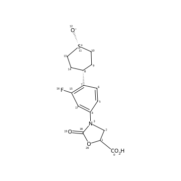 O=C(O)C1CN(c2ccc([C@H]3CC[S@@+]([O-])CC3)c(F)c2)C(=O)O1